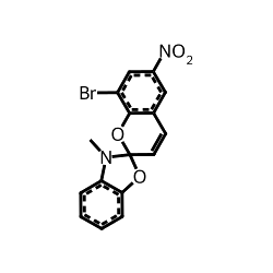 CN1c2ccccc2OC12C=Cc1cc([N+](=O)[O-])cc(Br)c1O2